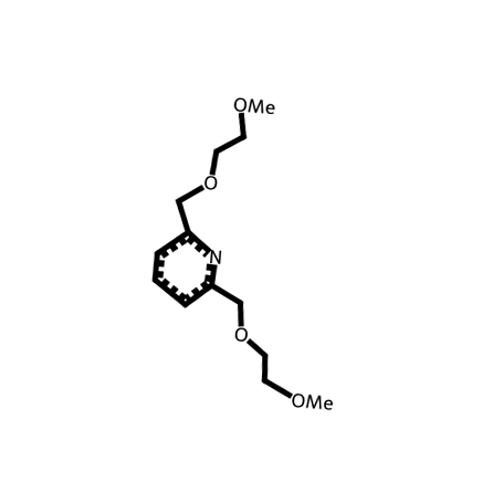 COCCOCc1cccc(COCCOC)n1